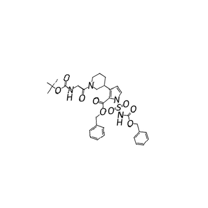 CC(C)(C)OC(=O)NCC(=O)N1CCCC(c2ccn(S(=O)(=O)NC(=O)OCc3ccccc3)c2C(=O)OCc2ccccc2)C1